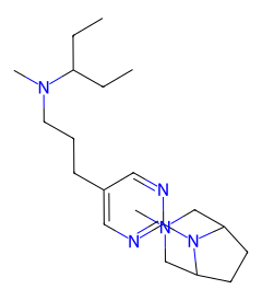 CCC(CC)N(C)CCCc1cnc(N2C3CCC2CN(C)C3)nc1